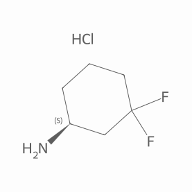 Cl.N[C@H]1CCCC(F)(F)C1